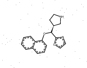 c1ccc2c(OC(c3ncco3)[C@H]3CCNC3)cccc2c1